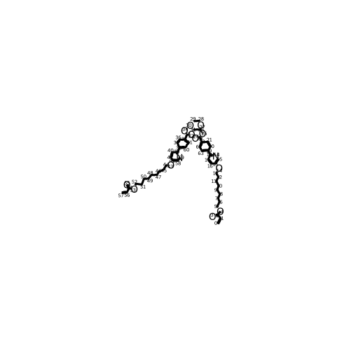 C=CC(=O)OCCCCCCCCCOc1ccc(-c2ccc(C(=O)O[C@@H]3OCCO[C@H]3OC(=O)c3ccc(-c4ccc(OCCCCCCCCCOC(=O)C=C)cn4)cc3)cc2)nc1